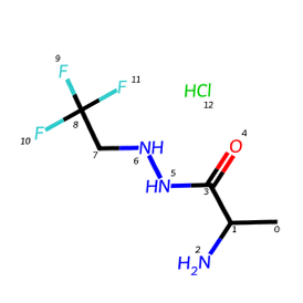 CC(N)C(=O)NNCC(F)(F)F.Cl